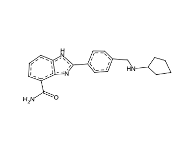 NC(=O)c1cccc2[nH]c(-c3ccc(CNC4CCCC4)cc3)nc12